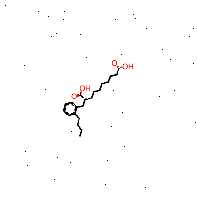 CCCCc1ccccc1CC(CCCCCCCC(=O)O)C(=O)O